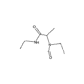 CCNC(=O)C(C)N([C]=O)CC